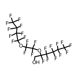 OCC(F)(OC(F)(F)C(F)(F)OC(F)(F)C(F)(F)C(F)(F)C(F)(F)F)C(F)(F)C(F)(F)C(F)(F)C(F)(F)F